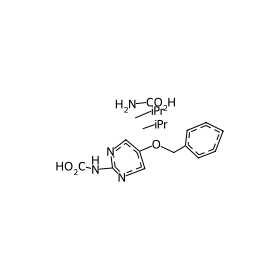 CC(C)C.CC(C)C.NC(=O)O.O=C(O)Nc1ncc(OCc2ccccc2)cn1